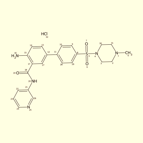 CN1CCN(S(=O)(=O)c2ccc(-c3ccc(N)c(C(=O)Nc4cccnc4)c3)cc2)CC1.Cl